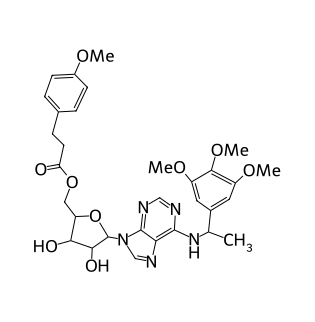 COc1ccc(CCC(=O)OCC2OC(n3cnc4c(NC(C)c5cc(OC)c(OC)c(OC)c5)ncnc43)C(O)C2O)cc1